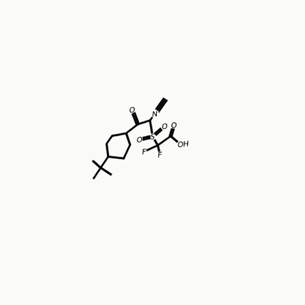 C#[N+]C(C(=O)C1CCC(C(C)(C)C)CC1)S(=O)(=O)C(F)(F)C(=O)O